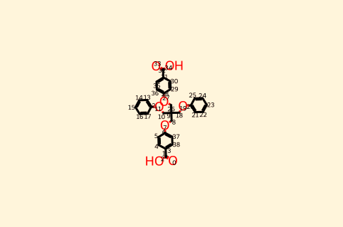 O=C(O)c1ccc(OCC(COc2ccccc2)(COc2ccccc2)COc2ccc(C(=O)O)cc2)cc1